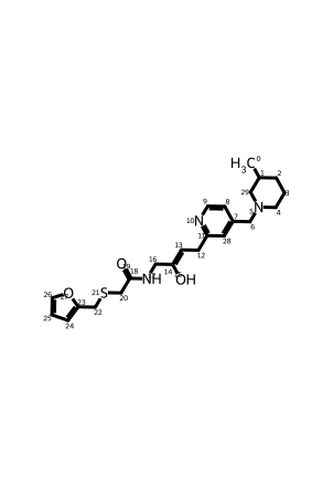 CC1CCCN(Cc2ccnc(CC=C(O)CNC(=O)CSCc3ccco3)c2)C1